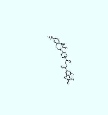 Bc1ccc2c(c1)CCN(C1CCN(C(=O)CCC(=O)c3cc(C)c4[nH]c(=O)oc4c3)CC1)C(=O)N2